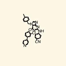 Cc1ccc(Cn2cnc3nc(Nc4ccc(C#N)cc4)nc(Oc4ccc(-c5ccncc5)cc4Cl)c32)cc1